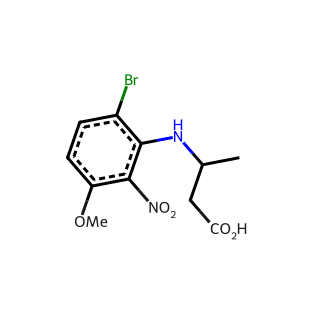 COc1ccc(Br)c(NC(C)CC(=O)O)c1[N+](=O)[O-]